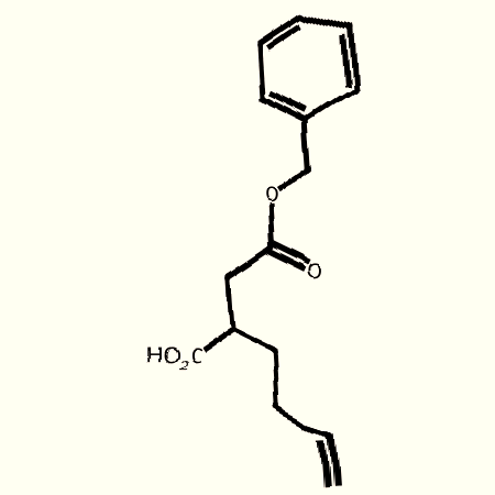 C=CCCC(CC(=O)OCc1ccccc1)C(=O)O